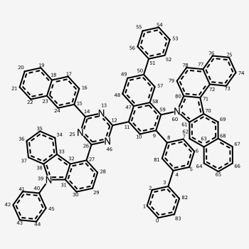 c1ccc(-c2cccc(-c3cc(-c4nc(-c5ccc6ccccc6c5)nc(-c5cccc6c5c5ccccc5n6-c5ccccc5)n4)c4ccc(-c5ccccc5)cc4c3-n3c4cc5ccccc5cc4c4c5ccccc5ccc43)c2)cc1